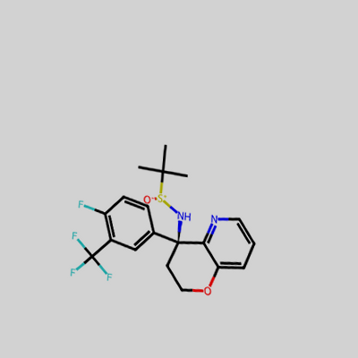 CC(C)(C)[S+]([O-])N[C@]1(c2ccc(F)c(C(F)(F)F)c2)CCOc2cccnc21